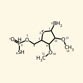 BC1SC(CO[PH](=O)S)C(OC)C1OC